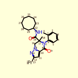 Cc1ccccc1N1C(=O)c2cc(C(C)C)nn2CC1(C)C(=O)NC1CCCCCCC1